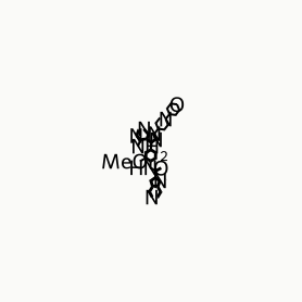 COc1cc(-c2nn(C3CCN(C4CCOCC4)CC3)c3ncnc(N)c23)ccc1NC(=O)c1cc2cnccc2n1C